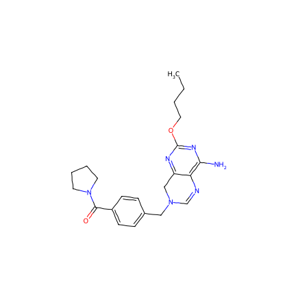 CCCCOc1nc(N)c2c(n1)CN(Cc1ccc(C(=O)N3CCCC3)cc1)C=N2